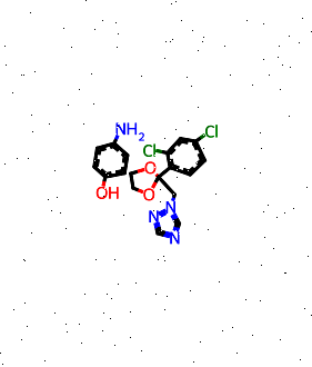 Clc1ccc(C2(Cn3cncn3)OCCO2)c(Cl)c1.Nc1ccc(O)cc1